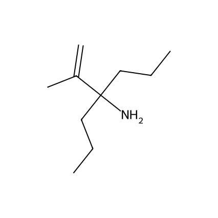 C=C(C)C(N)(CCC)CCC